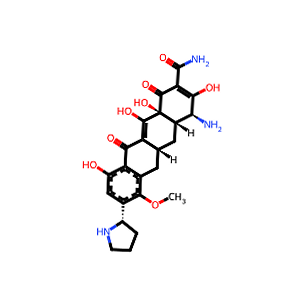 COc1c([C@@H]2CCCN2)cc(O)c2c1C[C@H]1C[C@H]3[C@H](N)C(O)=C(C(N)=O)C(=O)[C@@]3(O)C(O)=C1C2=O